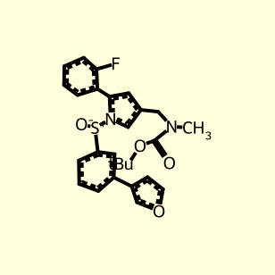 CN(Cc1cc(-c2ccccc2F)n([S+]([O-])c2cccc(-c3ccoc3)c2)c1)C(=O)OC(C)(C)C